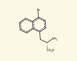 N[C@@H](Cc1ccc(Br)c2ccccc12)C(=O)O